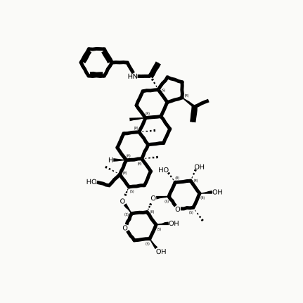 C=C(C)[C@@H]1CC[C@]2(C(=C)NCc3ccccc3)CC[C@]3(C)C(CCC4[C@@]5(C)CC[C@H](O[C@@H]6OC[C@H](O)[C@H](O)[C@H]6O[C@@H]6O[C@@H](C)[C@H](O)[C@@H](O)[C@H]6O)[C@@](C)(CO)[C@@H]5CC[C@]43C)C12